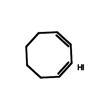 C1=CCCCCC=C1.I